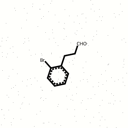 O=[C]CCc1ccccc1Br